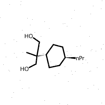 CCC[C@H]1CC[C@H](C(C)(CO)CO)CC1